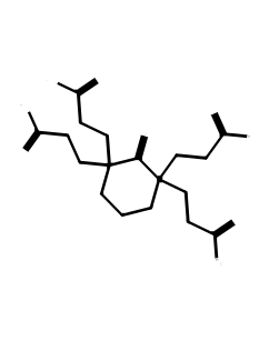 O=C(O)CCC1(CCC(=O)O)CCCC(CCC(=O)O)(CCC(=O)O)C1=O